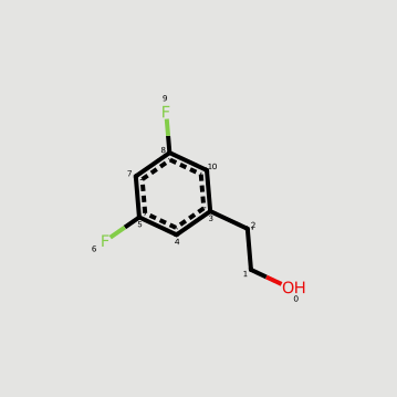 OC[CH]c1cc(F)cc(F)c1